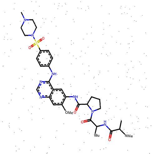 CNC(C)C(=O)NC(C(=O)N1CCCC1C(=O)Nc1cc2c(Nc3ccc(S(=O)(=O)N4CCN(C)CC4)cc3)ncnc2cc1OC)C(C)(C)C